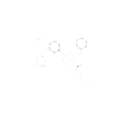 COc1ccc(N2CCN(C(=O)CCCO)[C@@H](Cc3ccccc3)C2)cc1OC1CCCC1